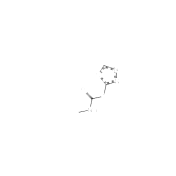 CNC(=O)Sc1nncs1